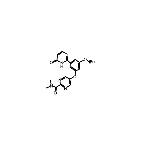 CCC(C)Oc1cc(Oc2cnc(C(=O)N(C)C)nc2)cc(-c2nccc(=O)[nH]2)c1